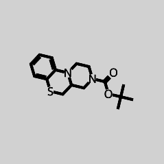 CC(C)(C)OC(=O)N1CCN2c3ccccc3SCC2C1